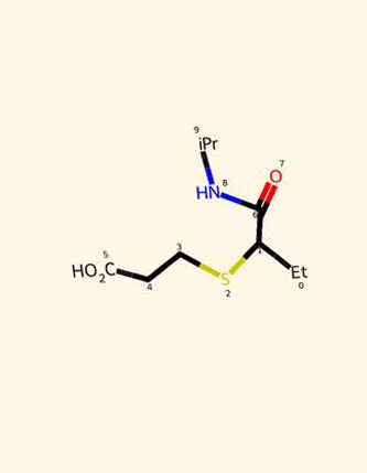 CCC(SCCC(=O)O)C(=O)NC(C)C